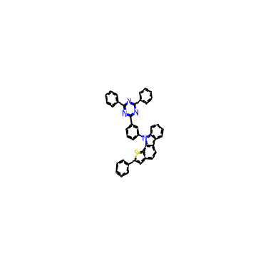 c1ccc(-c2nc(-c3ccccc3)nc(-c3cccc(-n4c5ccccc5c5ccc6cc(-c7ccccc7)sc6c54)c3)n2)cc1